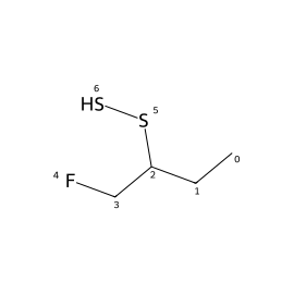 CCC(CF)SS